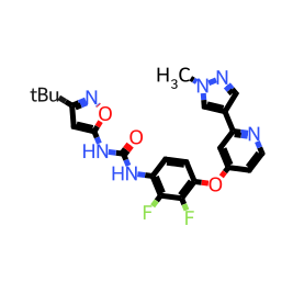 Cn1cc(-c2cc(Oc3ccc(NC(=O)Nc4cc(C(C)(C)C)no4)c(F)c3F)ccn2)cn1